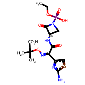 CC(C)(ON=C(C(=O)N[C@H]1CN(P(=O)(O)OCC(F)(F)F)C1=O)c1csc(N)n1)C(=O)O